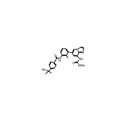 CNC(=O)Nc1cc(-c2cccc(NC(=O)c3ccc(C(C)(C)C#N)cc3)c2C)cn2ccnc12